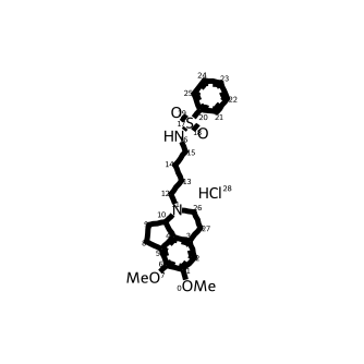 COc1cc2c3c(c1OC)CCC3N(CCCCNS(=O)(=O)c1ccccc1)CC2.Cl